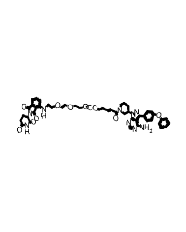 Nc1ncnc2c1c(-c1ccc(Oc3ccccc3)cc1)nn2C1CCCN(C(=O)/C=C/CCCCOCCOCCOCCNc2cccc3c2C(=O)N(C2CCC(=O)NC2=O)C3=O)C1